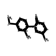 COc1ccc(-n2cc(C)ccc2=O)c(C)c1